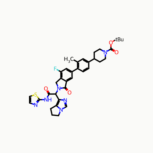 Cc1cc(C2CCN(C(=O)OC(C)(C)C)CC2)ccc1-c1cc(F)c2c(c1)C(=O)N(C(C(=O)Nc1nccs1)c1ncn3c1CCC3)C2